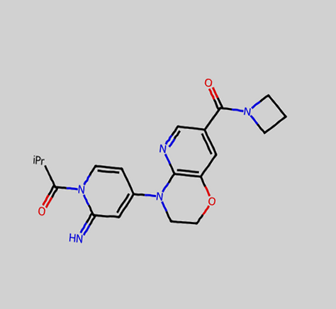 CC(C)C(=O)n1ccc(N2CCOc3cc(C(=O)N4CCC4)cnc32)cc1=N